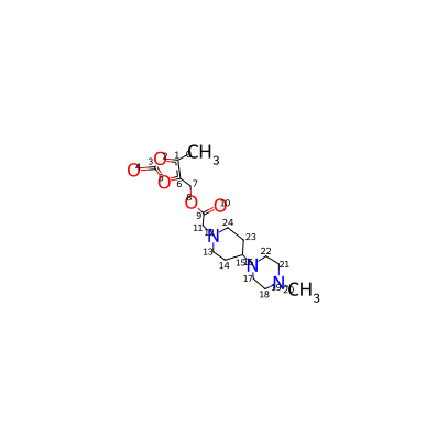 Cc1oc(=O)oc1COC(=O)CN1CCC(N2CCN(C)CC2)CC1